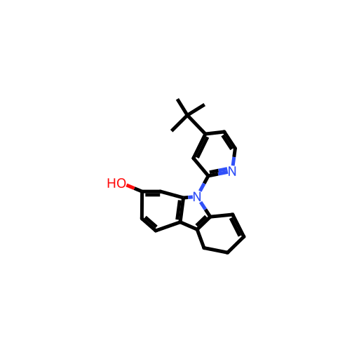 CC(C)(C)c1ccnc(-n2c3c(c4ccc(O)cc42)CCC=C3)c1